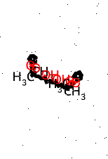 CC(C)(CCCC(O)CCCC(O)CCCC(C)(C)CC(=O)Oc1ccccc1)CC(=O)Oc1ccccc1